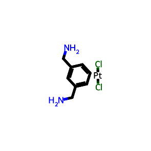 NCc1cccc(CN)c1.[Cl][Pt][Cl]